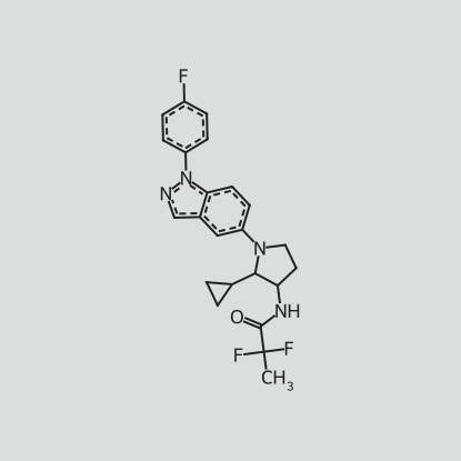 CC(F)(F)C(=O)NC1CCN(c2ccc3c(cnn3-c3ccc(F)cc3)c2)C1C1CC1